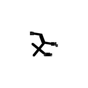 CC/C=C(/N)C(C)(C)OC